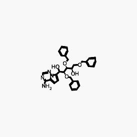 Nc1ncnn2c(C(O)[C@H](OCc3ccccc3)[C@H](OCc3ccccc3)[C@H](O)COCc3ccccc3)ccc12